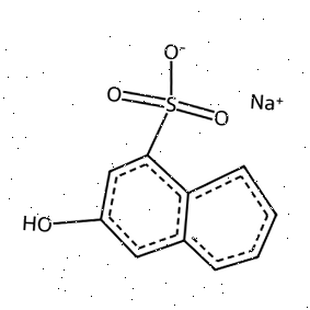 O=S(=O)([O-])c1cc(O)cc2ccccc12.[Na+]